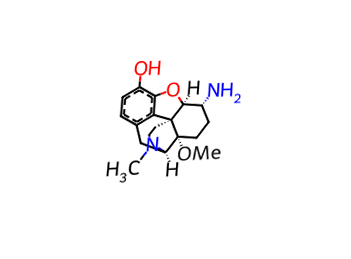 CO[C@@]12CC[C@@H](N)[C@@H]3Oc4c(O)ccc5c4[C@@]31CCN(C)[C@@H]2C5